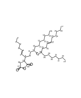 CCCC/C=C/C(CCC(CCCCCCC)OC(CC/C=C/CCCCC)CCCCCCC)C1CC(=O)OC1=O